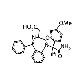 COc1ccc(C(C(N)=O)(C(C)C)N2C(=O)C(CC(=O)O)N=C(c3ccccc3)c3ccccc32)cc1